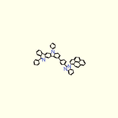 c1ccc(-c2nc3cc4c5cc(-c6ccc(-c7nc8ccccc8n7-c7ccc8ccc9cccc%10ccc7c8c9%10)cc6)ccc5n(-c5ccccc5)c4cc3c3ccccc23)cc1